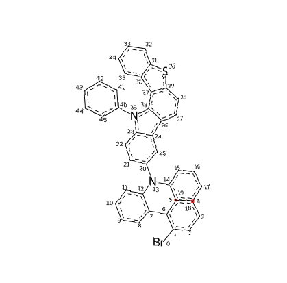 Brc1ccccc1-c1ccccc1N(c1ccccc1)c1ccc2c(c1)c1ccc3sc4ccccc4c3c1n2-c1ccccc1